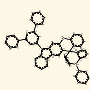 c1ccc(-c2cc(-n3c4ccccc4c4cc5c(cc43)Oc3ccccc3C53c4ccccc4N(c4ccccc4)c4ccccc43)cc(-c3ccccc3)n2)cc1